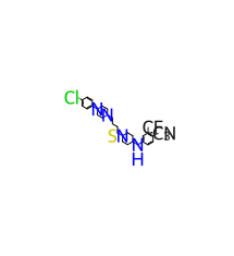 N#Cc1ccc(NC2CCN(C(=S)CCCN3CCN(c4ccc(Cl)cc4)CC3)CC2)cc1C(F)(F)F